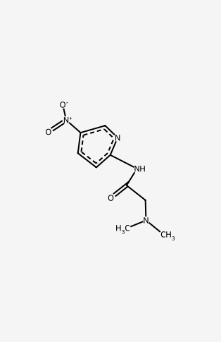 CN(C)CC(=O)Nc1ccc([N+](=O)[O-])cn1